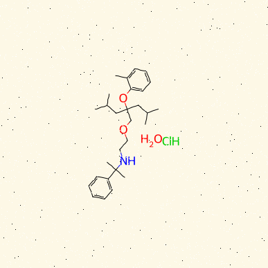 Cc1ccccc1OC(COCCNC(C)(C)c1ccccc1)(CC(C)C)CC(C)C.Cl.O